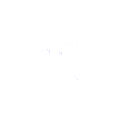 CN1CCC[C@H](N(N)C(=O)O)C1=O